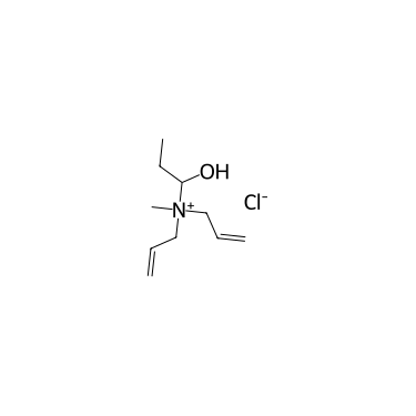 C=CC[N+](C)(CC=C)C(O)CC.[Cl-]